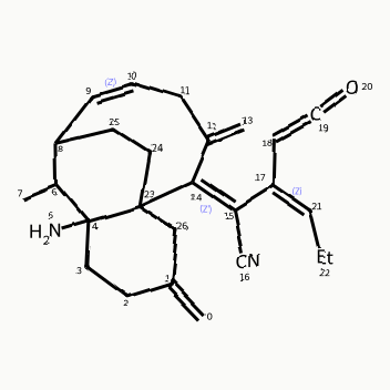 C=C1CCC2(N)C(C)C3/C=C\CC(=C)/C(=C(C#N)\C(C=C=O)=C/CC)C2(CC3)C1